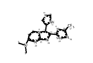 CN(C)c1ccn2c(-c3cnc[nH]3)c(-c3nc(C(F)(F)F)n[nH]3)nc2n1